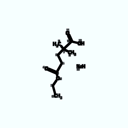 CCOC(=O)CCC(C)(C)C(=O)O.[NaH]